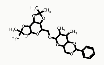 CC1C(OCC2OC3OC(C)(C)OC3C3OC(C)(C)OC23)OC2COC(c3ccccc3)OC2C1C